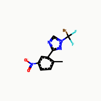 Cc1ccc([N+](=O)[O-])cc1-c1ncn(C(F)(F)Br)n1